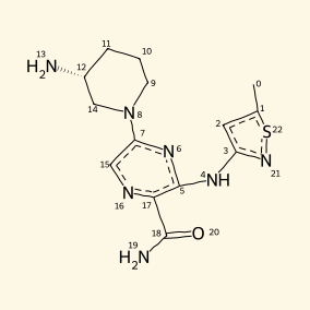 Cc1cc(Nc2nc(N3CCC[C@@H](N)C3)cnc2C(N)=O)ns1